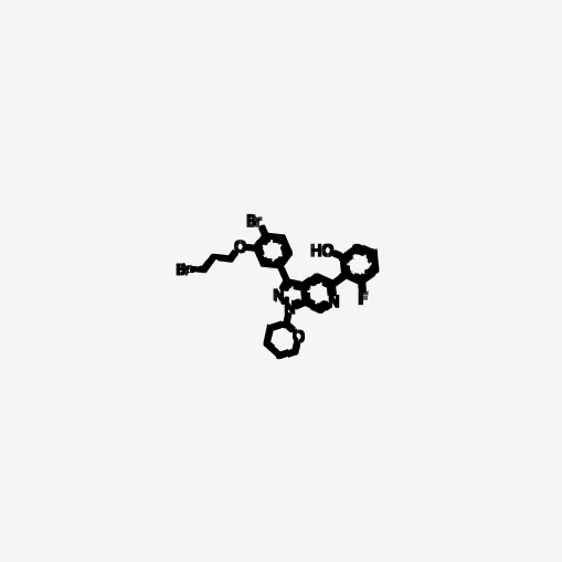 Oc1cccc(F)c1-c1cc2c(-c3ccc(Br)c(OCCCBr)c3)nn(C3CCCCO3)c2cn1